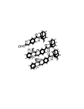 CN(Cc1ccc(C(=O)NC23CC4CC(CC(F)(C4)C2)C3)cc1)C(=O)N(C)c1ccccc1.CN(Cc1ccc(C(=O)NC2C3CC4CC(C3)CC2C4)cc1)C(=O)N(C)c1ccccn1.O=CNCc1ccc(C(=O)NC23CC4CC(CC(F)(C4)C2)C3)cc1